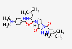 CC(C)C[C@H](NC(=O)c1ccc(N(C)C)cc1)C(=O)N1CCC2[C@H]1C(=O)CN2C(=O)[C@@H](N)CC(C)(C)C